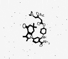 CC(=O)OC(CC(=O)O[C@H]1CC[C@H](Nc2cc(-n3c(C)c(C)c4c3CC(C)(C)CC4=O)ccc2C(N)=O)CC1)CN(C)C